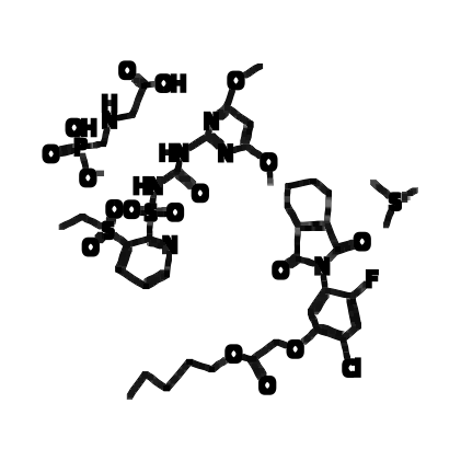 CCCCCOC(=O)COc1cc(N2C(=O)C3=C(CCCC3)C2=O)c(F)cc1Cl.CCS(=O)(=O)c1cccnc1S(=O)(=O)NC(=O)Nc1nc(OC)cc(OC)n1.C[S+](C)C.O=C(O)CNCP(=O)([O-])O